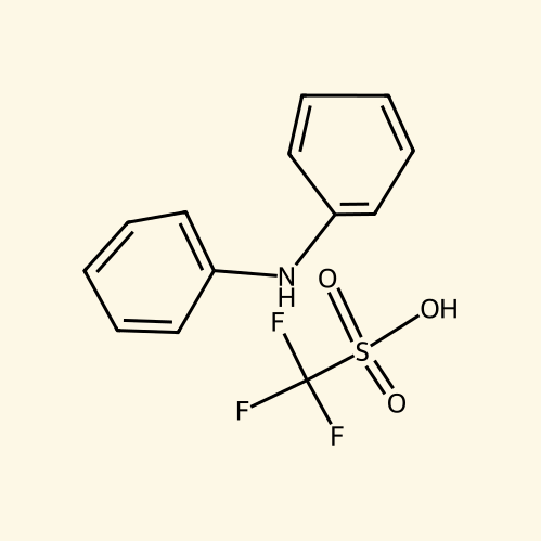 O=S(=O)(O)C(F)(F)F.c1ccc(Nc2ccccc2)cc1